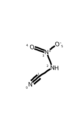 N#CN[N+](=O)[O-]